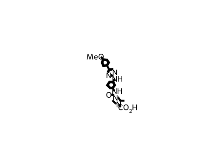 COc1ccc(-c2cnc(Nc3cccc(NC(=O)N4CCN(C(=O)O)C(C)C4)c3)nc2)cc1